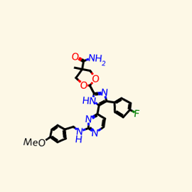 COc1ccc(CNc2nccc(-c3[nH]c(C4OCC(C)(C(N)=O)CO4)nc3-c3ccc(F)cc3)n2)cc1